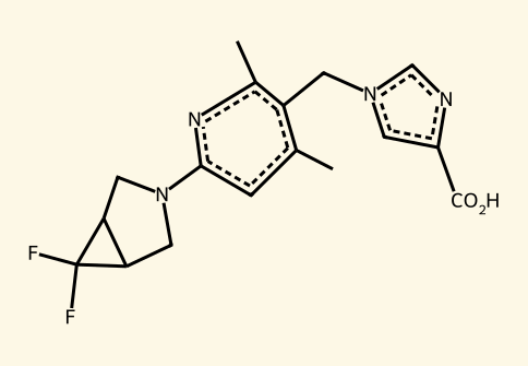 Cc1cc(N2CC3C(C2)C3(F)F)nc(C)c1Cn1cnc(C(=O)O)c1